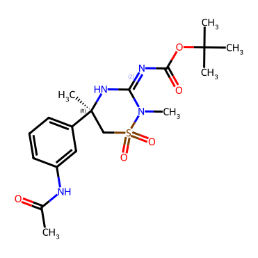 CC(=O)Nc1cccc([C@]2(C)CS(=O)(=O)N(C)/C(=N\C(=O)OC(C)(C)C)N2)c1